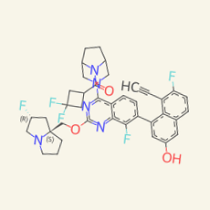 C#Cc1c(F)ccc2cc(O)cc(-c3ccc4c(N5CC6CCC(C5)N6C(=O)C5CC(F)(F)C5)nc(OC[C@@]56CCCN5C[C@H](F)C6)nc4c3F)c12